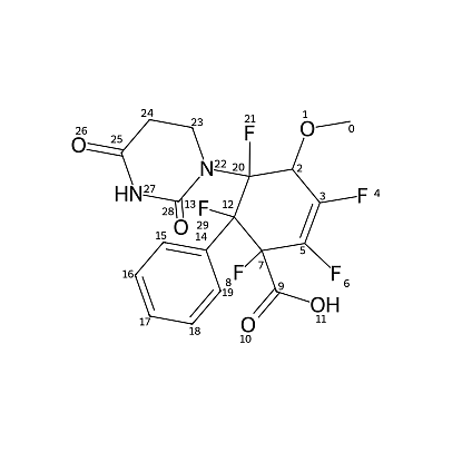 COC1C(F)=C(F)C(F)(C(=O)O)C(F)(c2ccccc2)C1(F)N1CCC(=O)NC1=O